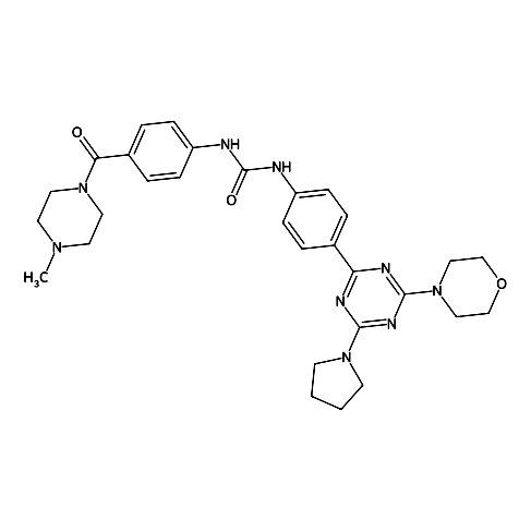 CN1CCN(C(=O)c2ccc(NC(=O)Nc3ccc(-c4nc(N5CCCC5)nc(N5CCOCC5)n4)cc3)cc2)CC1